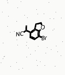 CC(C#N)c1ccc(Br)c2c1CCO2